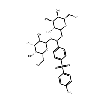 Nc1ccc(S(=O)(=O)c2ccc(N(OC3O[C@H](CO)[C@H](O)[C@H](O)[C@H]3O)OC3O[C@H](CO)[C@H](O)[C@H](O)[C@H]3O)cc2)cc1